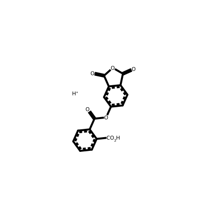 O=C(O)c1ccccc1C(=O)Oc1ccc2c(c1)C(=O)OC2=O.[H+]